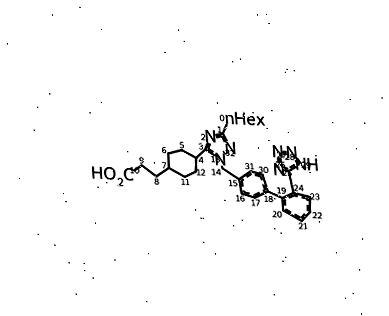 CCCCCCc1nc(C2CCC(CCC(=O)O)CC2)n(Cc2ccc(-c3ccccc3-c3nnn[nH]3)cc2)n1